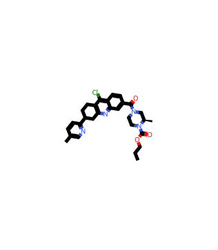 CCCOC(=O)N1CCN(C(=O)c2ccc3c(Cl)c4c(nc3c2)CC(c2ccc(C)cn2)CC4)C[C@H]1C